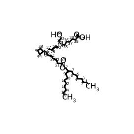 CCCCCCCCC(CCCCCCCC)COC(=O)CCCCCN(C/C=C/CN(CCO)CCCCCC(=O)O)C1CCC1